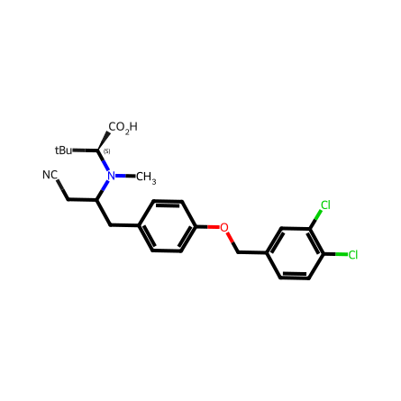 CN(C(CC#N)Cc1ccc(OCc2ccc(Cl)c(Cl)c2)cc1)[C@H](C(=O)O)C(C)(C)C